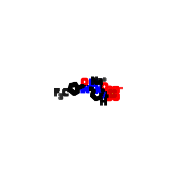 N=C(NC(=O)c1ccc(C(F)(F)F)cc1)[C@@H]1CC[C@@H]2CN1C(=O)N2OS(=O)(=O)[O-].[Na+]